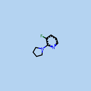 Fc1cccnc1N1CCCC1